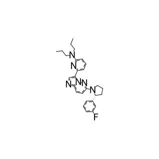 CCCN(CCC)c1cccc(-c2cnc3ccc(N4CCC[C@@H]4c4cccc(F)c4)nn23)n1